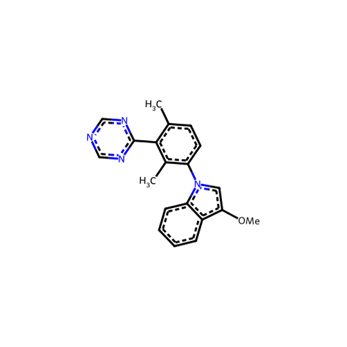 COc1cn(-c2ccc(C)c(-c3ncncn3)c2C)c2ccccc12